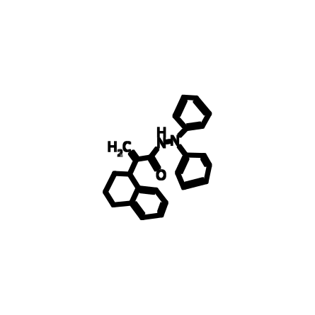 C=C(C(=O)NN(c1ccccc1)c1ccccc1)C1CCCc2ccccc21